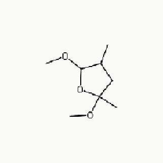 COC1OC(C)(OC)CC1C